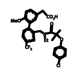 CCN(Cc1cc(C(F)(F)F)ccc1-c1cc(CC(=O)O)ccc1OC)C(=O)C(C)(C)Oc1ccc(Cl)cc1